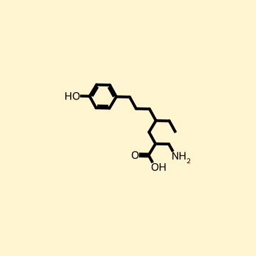 CCC(CCCc1ccc(O)cc1)CC(CN)C(=O)O